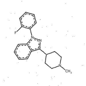 CN1CCC(c2nn(-c3ccccc3F)c3ccccc23)CC1